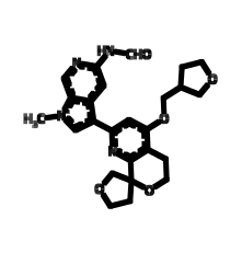 Cn1cc(-c2cc(OCC3CCOC3)c3c(n2)C2(CCOC2)OCC3)c2cc(NC=O)ncc21